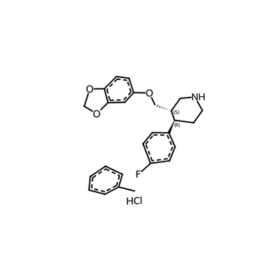 Cc1ccccc1.Cl.Fc1ccc([C@@H]2CCNC[C@H]2COc2ccc3c(c2)OCO3)cc1